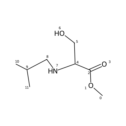 COC(=O)C(CO)NCC(C)C